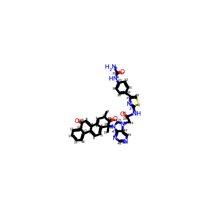 CC1C=c2c(ccc3c2=CC(=O)c2ccccc2-3)C(C)(N2CN(CC(=O)Nc3nc(-c4ccc(NC(N)=O)cc4)cs3)c3cncnc32)C1=O